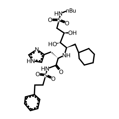 CCCCNS(=O)(=O)C[C@@H](O)[C@@H](O)[C@@H](CC1CCCCC1)N[C@@H](Cc1c[nH]cn1)C(=O)NS(=O)(=O)CCc1ccccc1